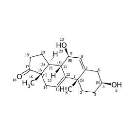 C[C@]12CC[C@H](O)CC1=C[C@H](O)[C@@H]1C2=CC[C@]2(C)C(=O)CC[C@@H]12